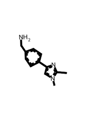 Cc1nc(-c2ccc(CN)cc2)cn1C